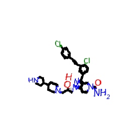 NC(=O)N1CCc2c(c(-c3ccc(Cl)c(C#Cc4ccc(Cl)cc4)c3)nn2C[C@@H](O)CN2CCC(C3CCNCC3)CC2)C1